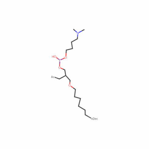 CCCCCCCCCCCCCCCCOCC(COP(O)OCCCCN(C)C)CC(C)=O